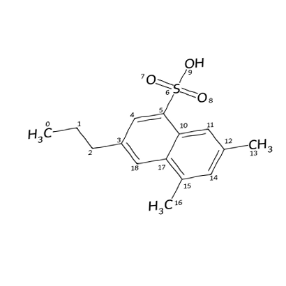 CCCc1cc(S(=O)(=O)O)c2cc(C)cc(C)c2c1